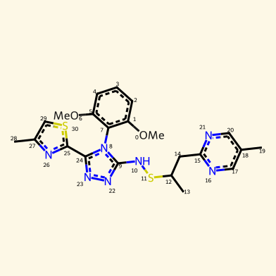 COc1cccc(OC)c1-n1c(NSC(C)Cc2ncc(C)cn2)nnc1-c1nc(C)cs1